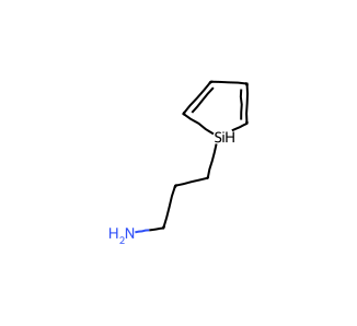 NCCC[SiH]1C=CC=C1